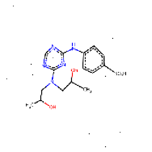 CC(O)CN(CC(C)O)c1ncnc(Nc2ccc(S(=O)(=O)O)cc2)n1